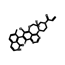 C=CC(=O)N1CCN2c3ncnc4c(F)c(-c5c(C)ccc6cc[nH]c(=O)c56)c(Cl)c(c34)OC[C@@H]2C1